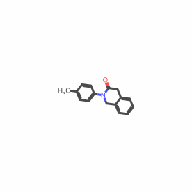 Cc1ccc(N2Cc3ccccc3CC2=O)cc1